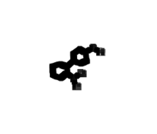 CCOc1ccc(-c2ccccc2N(CC)CC)cc1